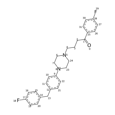 O=C(CCCN1CCN(c2ccc(Cc3ccc(F)cc3)cc2)CC1)c1ccc(F)cc1